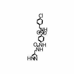 O=C(NCc1cn[nH]c1)Nc1ccc(S(=O)(=O)NCc2ccc(Cl)cc2)cc1